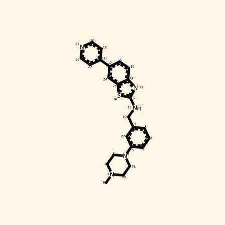 CN1CCN(c2cccc(CNc3nc4ccc(-c5ccncc5)cc4s3)c2)CC1